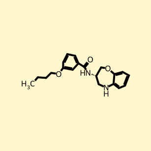 CCCCOc1cccc(C(=O)N[C@H]2CNc3ccccc3OC2)c1